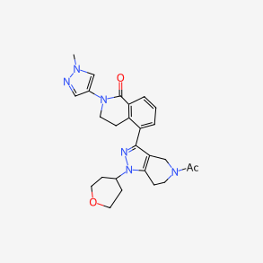 CC(=O)N1CCc2c(c(-c3cccc4c3CCN(c3cnn(C)c3)C4=O)nn2C2CCOCC2)C1